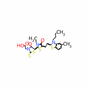 CCCCN1/C(=C/C=c2/s/c(=C3\SC(=S)N(CC(=O)O)C3=O)n(CC)c2=O)Sc2ccc(C)cc21